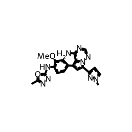 COc1cc(-c2cc(-c3ccn(C)n3)n3ncnc(N)c23)ccc1Nc1nnc(C)o1